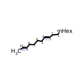 [CH2]CCCCCCC/C=C/CCCC/C=C/C